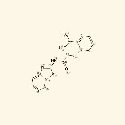 CC(C)c1ccccc1OCC(=O)Nc1nc2ccccc2s1